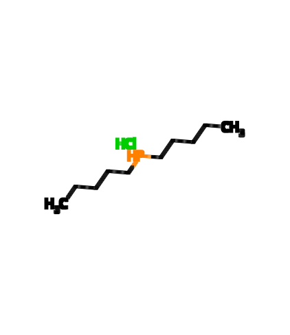 CCCCCPCCCCC.Cl